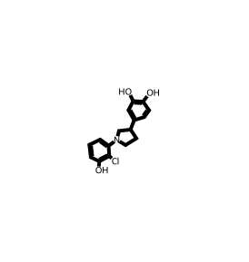 Oc1ccc(C2CCN(c3cccc(O)c3Cl)C2)cc1O